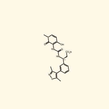 Cc1noc(C)c1-c1cccc([C@H](CC(=O)O)NC(=O)Nc2c(O)ccn(C)c2=O)c1